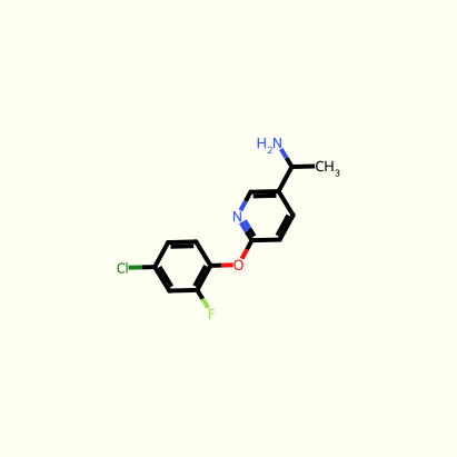 CC(N)c1ccc(Oc2ccc(Cl)cc2F)nc1